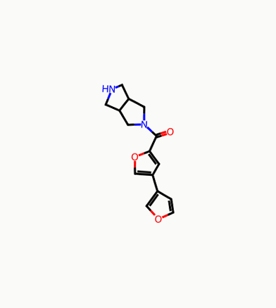 O=C(c1cc(-c2ccoc2)co1)N1CC2CNCC2C1